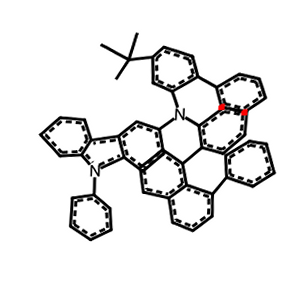 CC(C)(C)c1ccc(-c2ccccc2)c(N(c2ccc3c(c2)c2ccccc2n3-c2ccccc2)c2ccccc2-c2cccc3cccc(-c4ccccc4)c23)c1